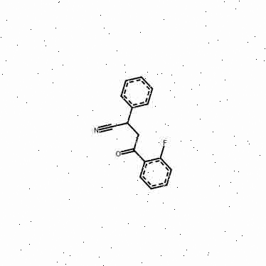 N#CC(CC(=O)c1ccccc1F)c1ccccc1